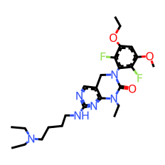 CCOc1cc(OC)c(F)c(N2Cc3cnc(NCCCCN(CC)CC)nc3N(CC)C2=O)c1F